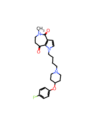 CN1CCC(=O)c2c(ccn2CCCCN2CCC(Oc3ccc(F)cc3)CC2)C1=O